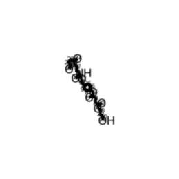 O=C(CCC(=O)Oc1ccc(COC(=O)NCCN2C(=O)C=CC2=O)cc1)OCCCO